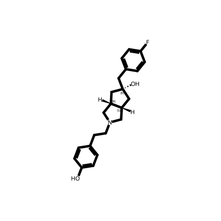 Oc1ccc(CCN2C[C@@H]3C[C@@](O)(Cc4ccc(F)cc4)C[C@@H]3C2)cc1